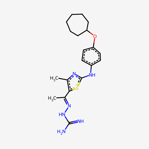 CC(=NNC(=N)N)c1sc(Nc2ccc(OC3CCCCCC3)cc2)nc1C